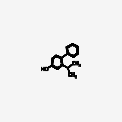 CC(C)c1cc(O)ccc1-c1ccccc1